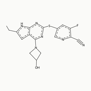 CCc1cc2c(N3CC(O)C3)nc(Sc3cnc(C#N)c(F)c3)nc2[nH]1